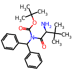 CC(C)(C)OC(=O)N(C(=O)[C@@H](N)C(C)(C)C)C(c1ccccc1)c1ccccc1